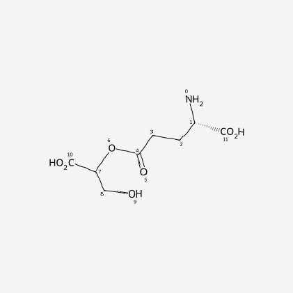 N[C@@H](CCC(=O)OC(CO)C(=O)O)C(=O)O